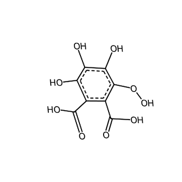 O=C(O)c1c(O)c(O)c(O)c(OO)c1C(=O)O